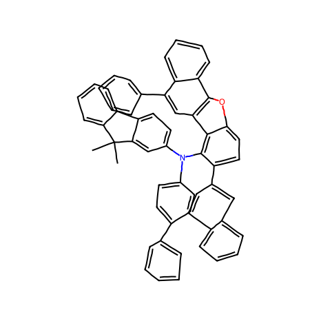 CC1(C)c2ccccc2-c2ccc(N(c3ccc(-c4ccccc4)cc3)c3c(-c4ccc5ccccc5c4)ccc4oc5c6ccccc6c(-c6ccccc6)cc5c34)cc21